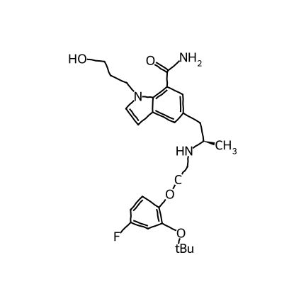 C[C@H](Cc1cc(C(N)=O)c2c(ccn2CCCO)c1)NCCOc1ccc(F)cc1OC(C)(C)C